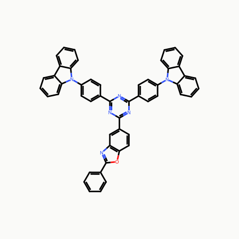 c1ccc(-c2nc3cc(-c4nc(-c5ccc(-n6c7ccccc7c7ccccc76)cc5)nc(-c5ccc(-n6c7ccccc7c7ccccc76)cc5)n4)ccc3o2)cc1